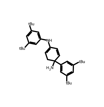 CC(C)(C)c1cc(NC2=CCC(N)(c3cc(C(C)(C)C)cc(C(C)(C)C)c3)C=C2)cc(C(C)(C)C)c1